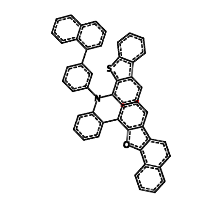 c1cc(-c2cccc3ccccc23)cc(N(c2ccccc2-c2cccc3c2oc2c4ccccc4ccc32)c2cccc3c2sc2ccccc23)c1